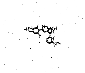 CCN(C)c1cccc(-c2n[nH]c3cnc(-c4c(C)cc(CNC)cc4F)cc23)n1